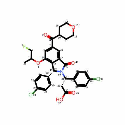 CC(CF)Oc1cc(C(=O)C2CCOCC2)cc2c1[C@@H](c1ccc(Cl)cc1)N([C@@H](CC(=O)O)c1ccc(Cl)cc1)C2=O